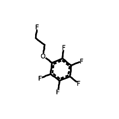 FCCOc1c(F)c(F)c(F)c(F)c1F